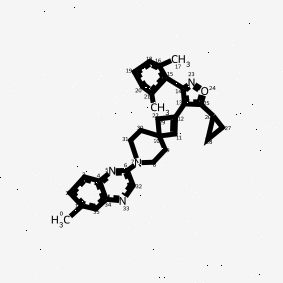 Cc1ccc2nc(N3CCC4(C=C(c5c(-c6c(C)cccc6C)noc5C5CC5)C4)CC3)cnc2c1